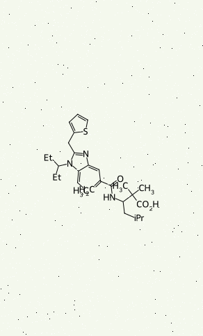 C=C(/C=c1/nc(Cc2cccs2)n(C(CC)CC)/c1=C/C)C(=O)NC(CC(C)C)C(C)(C)C(=O)O